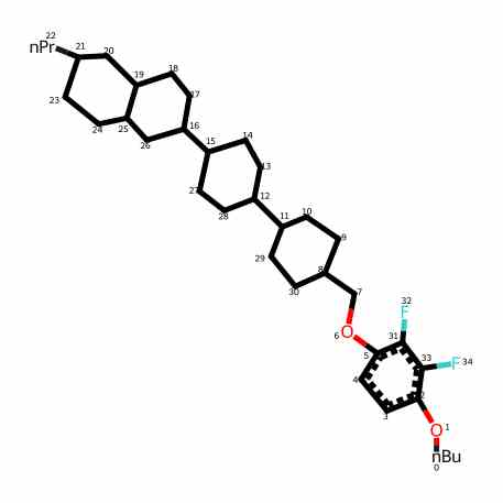 CCCCOc1ccc(OCC2CCC(C3CCC(C4CCC5CC(CCC)CCC5C4)CC3)CC2)c(F)c1F